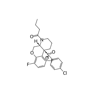 CCCC(=O)N1CCC[C@]2(S(=O)(=O)c3ccc(Cl)cc3)c3c(F)ccc(F)c3OC[C@H]12